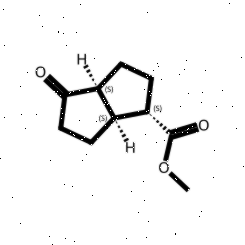 COC(=O)[C@H]1CC[C@@H]2C(=O)CC[C@@H]21